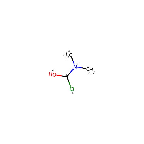 CN(C)C(O)Cl